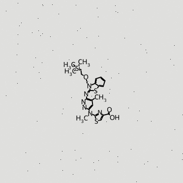 Cc1cc(N(C)c2nc(C(=O)O)cs2)nnc1/N=c1\sc2ccccc2n1COCC[Si](C)(C)C